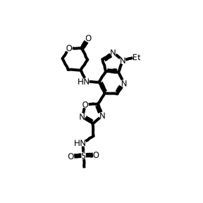 CCn1ncc2c(NC3CCOC(=O)C3)c(-c3nc(CNS(C)(=O)=O)no3)cnc21